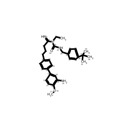 CCN(C(=N)CCCc1ccc(-c2ccc(OC)c(N)c2)cc1)C(=O)NCc1ccc(C(C)(C)C)cc1